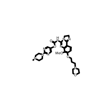 COc1c(OCCCN2CCOCC2)ccc2c1N=C(NC(=O)Oc1cnc(N3CCN(C)CC3)nc1)N1CCN=C21